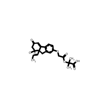 CCCC12Cc3cc(OCC(=O)OC(C)(C)C(=O)O)ccc3C1=CC(=O)CC2(Cl)Cl